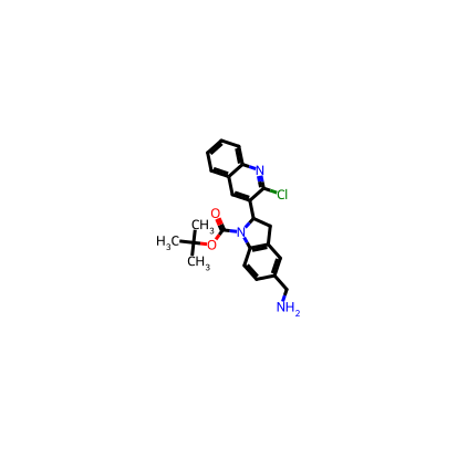 CC(C)(C)OC(=O)N1c2ccc(CN)cc2CC1c1cc2ccccc2nc1Cl